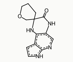 O=C1Nc2cnc3[nH]ccc3c2NC12CCCOC2